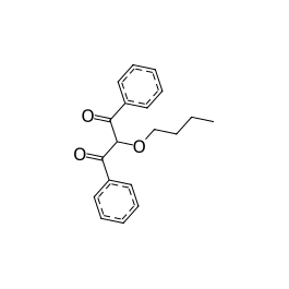 CCCCOC(C(=O)c1ccccc1)C(=O)c1ccccc1